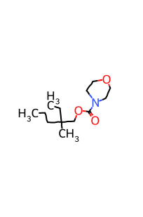 CCCC(C)(CC)COC(=O)N1CCOCC1